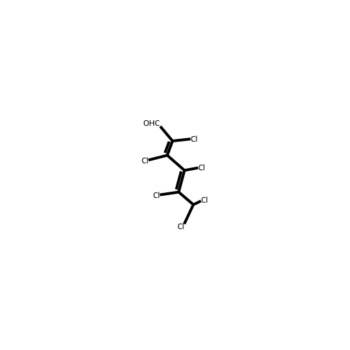 O=CC(Cl)=C(Cl)C(Cl)=C(Cl)C(Cl)Cl